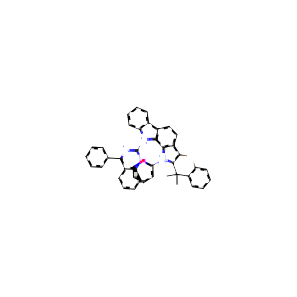 CC1(C)c2ccccc2Sc2c1n(-c1ccccc1)c1c2ccc2c3ccccc3n(-c3nc(-c4ccccc4)c4ccccc4n3)c21